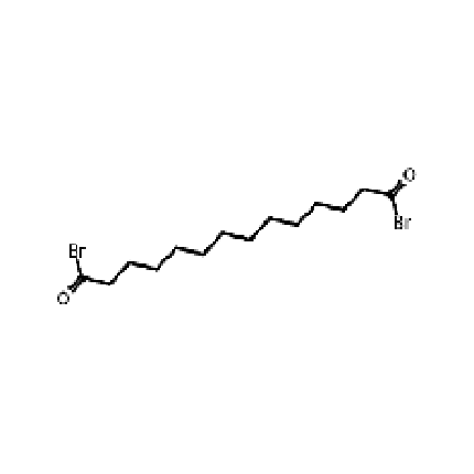 O=C(Br)CCCCCCCCCCCCC(=O)Br